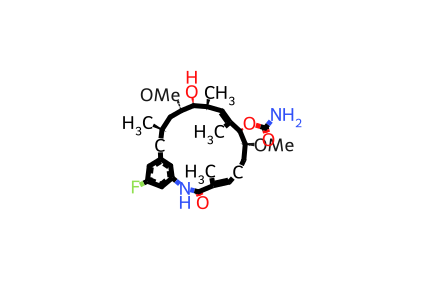 CO[C@H]1C[C@H](C)Cc2cc(F)cc(c2)NC(=O)/C(C)=C/CC[C@H](OC)[C@@H](OC(N)=O)/C(C)=C/[C@H](C)[C@H]1O